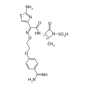 C[C@@H]1[C@H](NC(=O)/C(=N\OCCOc2ccc(C(=N)N)cc2)c2csc(N)n2)C(=O)N1S(=O)(=O)O